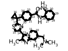 Cc1nc2cc(CN(C)C)ccn2c1-c1csc(C2(c3ccc(C(=O)Nc4ccccc4N)cc3)CC2)n1